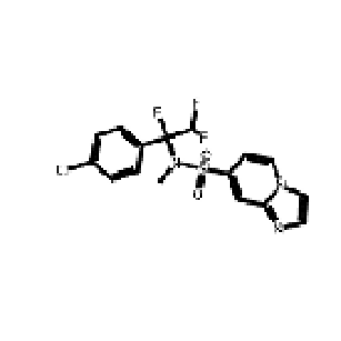 CN(C(F)(c1ccc(Cl)cc1)C(F)F)S(=O)(=O)c1ccn2ccnc2c1